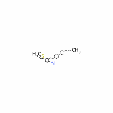 CCCCCC1CCC(C2CCC(CCc3cc(-c4ccc(C)s4)ccc3C#N)CC2)CC1